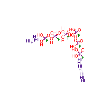 I.I.I.I.I.I.I.I.I.I.I.I.O=P(O)(O)F.O=P(O)(O)F.O=P(O)(O)F.O=P(O)(O)F.O=P(O)(O)F.O=P(O)(O)F